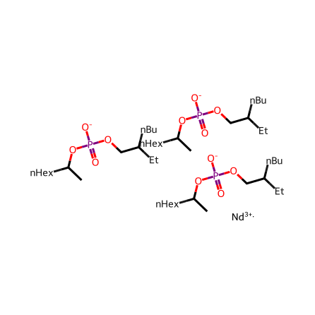 CCCCCCC(C)OP(=O)([O-])OCC(CC)CCCC.CCCCCCC(C)OP(=O)([O-])OCC(CC)CCCC.CCCCCCC(C)OP(=O)([O-])OCC(CC)CCCC.[Nd+3]